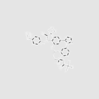 COc1ccc(CN2C(=O)C3(CCC3)c3cc(-c4ccnn4-c4ccccc4)cc(OC4CCS(=O)(=NC(=O)C(F)(F)F)CC4)c32)cc1